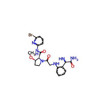 CO[C@@H]1CCN(C(=O)CNc2ccccc2C(=N)C(N)=O)[C@@H]1C(=O)Nc1cccc(Br)n1